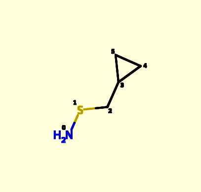 NSCC1CC1